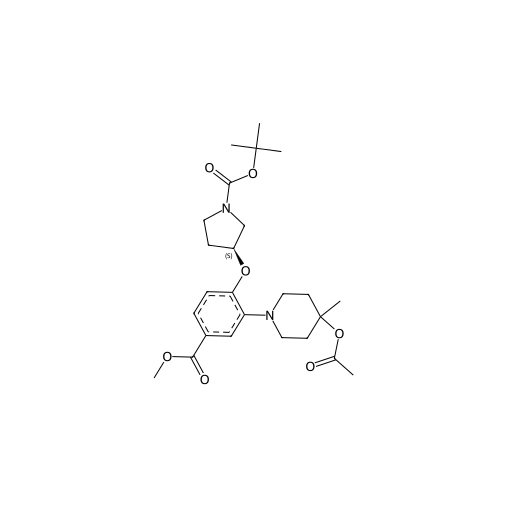 COC(=O)c1ccc(O[C@H]2CCN(C(=O)OC(C)(C)C)C2)c(N2CCC(C)(OC(C)=O)CC2)c1